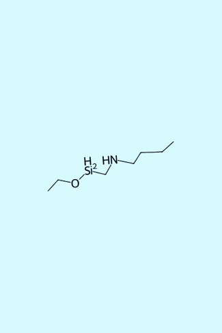 CCCCNC[SiH2]OCC